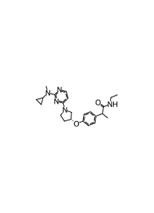 CCNC(=O)C(C)c1ccc(O[C@@H]2CCN(c3ccnc(N(C)C4CC4)n3)C2)cc1